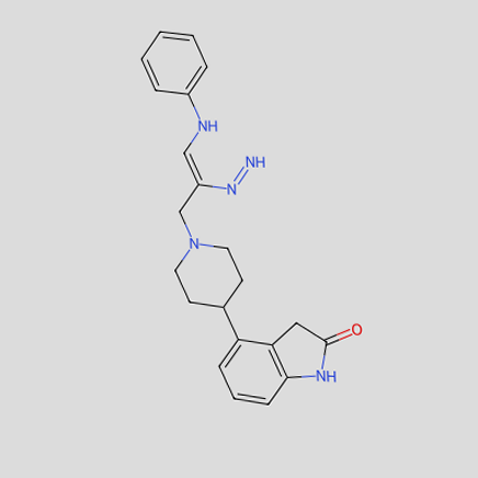 N=N/C(=C\Nc1ccccc1)CN1CCC(c2cccc3c2CC(=O)N3)CC1